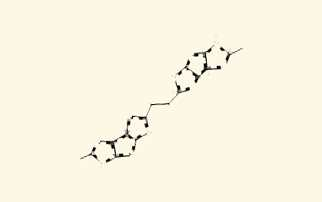 Cc1nc2sc3nc(CCc4nc5sc6nc(C)sc6c5s4)sc3c2s1